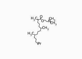 C=C(CCCC(C)CCCC(C)CCCC(C)C)C(=O)OCCN(C)C